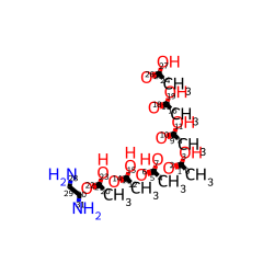 CC(=O)O.CC(=O)O.CC(=O)O.CC(=O)O.CC(=O)O.CC(=O)O.CC(=O)O.NCCN